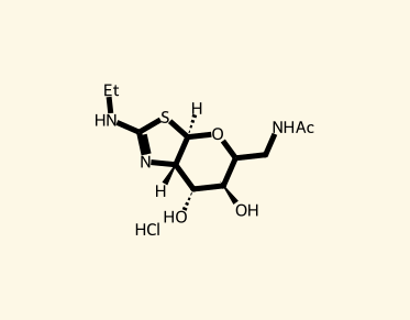 CCNC1=N[C@H]2[C@@H](O)[C@H](O)C(CNC(C)=O)O[C@@H]2S1.Cl